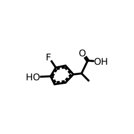 CC(C(=O)O)c1ccc(O)c(F)c1